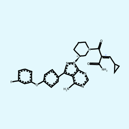 NC(=O)/C(=C\C1CC1)C(=O)N1CCC[C@H](n2nc(-c3ccc(Oc4cccc(F)c4)cc3)c3c(N)ncnc32)C1